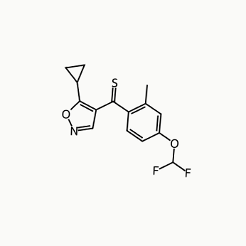 Cc1cc(OC(F)F)ccc1C(=S)c1cnoc1C1CC1